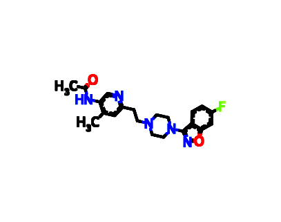 CC(=O)Nc1cnc(CCN2CCN(c3noc4cc(F)ccc34)CC2)cc1C